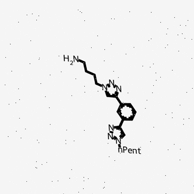 CCCCCn1cc(-c2cccc(-c3cn(CCCCN)nn3)c2)nn1